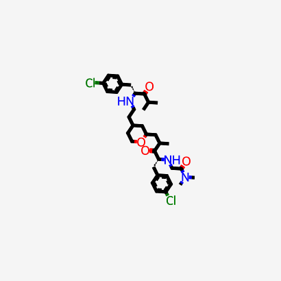 CC(C)C(=O)[C@@H](Cc1ccc(Cl)cc1)NCCC1CCOC(CC(C)C(=O)[C@@H](Cc2ccc(Cl)cc2)NCC(=O)N(C)C)C1